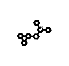 C1=CC(c2ccc3c4ccccc4c4ccccc4c3c2)CC(c2cc(-c3ccccc3)nc(-c3ccccc3)c2)=C1